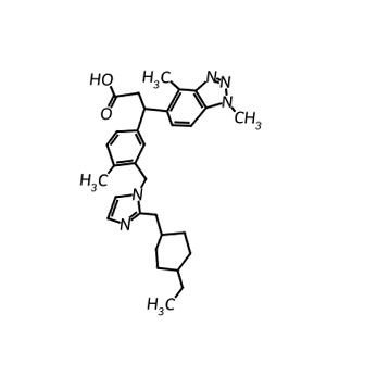 CCC1CCC(Cc2nccn2Cc2cc(C(CC(=O)O)c3ccc4c(nnn4C)c3C)ccc2C)CC1